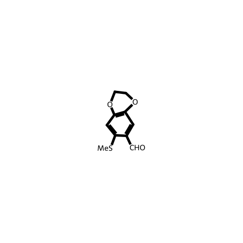 CSc1cc2c(cc1C=O)OCCO2